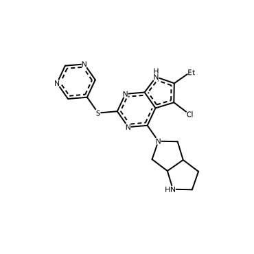 CCc1[nH]c2nc(Sc3cncnc3)nc(N3CC4CCNC4C3)c2c1Cl